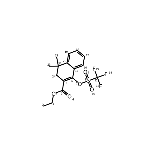 CCOC(=O)C1=C(OS(=O)(=O)C(F)(F)F)c2ccccc2C(C)(C)C1